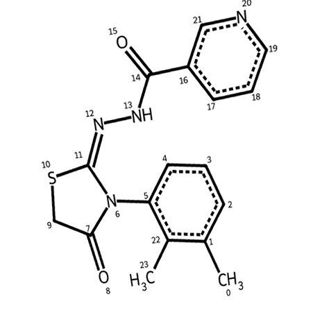 Cc1cccc(N2C(=O)CS/C2=N/NC(=O)c2cccnc2)c1C